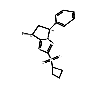 O=S(=O)(c1nc2n(n1)[C@H](c1ccccc1)C[C@@H]2F)C1CCC1